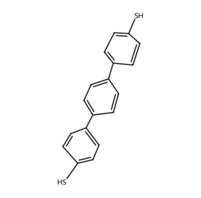 Sc1ccc(-c2ccc(-c3ccc(S)cc3)cc2)cc1